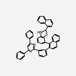 c1ccc(-c2cc(-c3ccccc3)nc(-c3cccc(-c4ccc5ccccc5c4-c4cccc5c4SC(c4cccc6ccccc46)N5)c3)n2)cc1